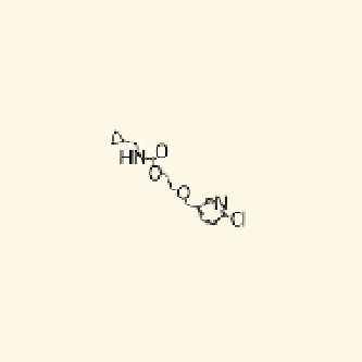 O=C(NCC1CC1)OCCOCc1ccc(Cl)nc1